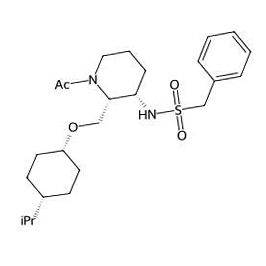 CC(=O)N1CCC[C@H](NS(=O)(=O)Cc2ccccc2)[C@@H]1CO[C@H]1CC[C@@H](C(C)C)CC1